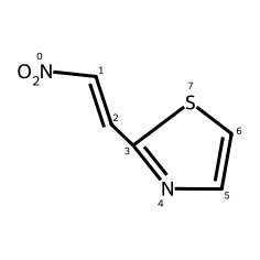 O=[N+]([O-])/C=C/c1nccs1